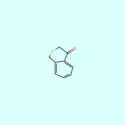 O=C1CSCc2ccccc21